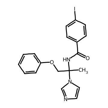 CC(COc1ccccc1)(NC(=O)c1ccc(I)cc1)n1ccnc1